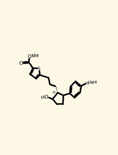 CCCCCCc1ccc(C2CCC(O)[C@@H]2CCCc2ccc(C(=O)OC)s2)cc1